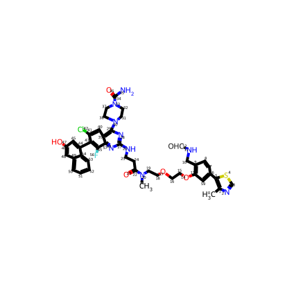 Cc1ncsc1-c1ccc(CNC=O)c(OCCOCCN(C)C(=O)CCNc2nc(N3CCN(C(N)=O)CC3)c3cc(Cl)c(-c4cc(O)cc5ccccc45)c(F)c3n2)c1